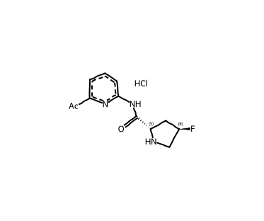 CC(=O)c1cccc(NC(=O)[C@@H]2C[C@@H](F)CN2)n1.Cl